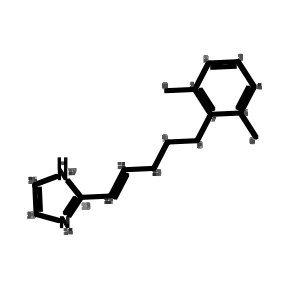 Cc1cccc(C)c1CCCC=Cc1ncc[nH]1